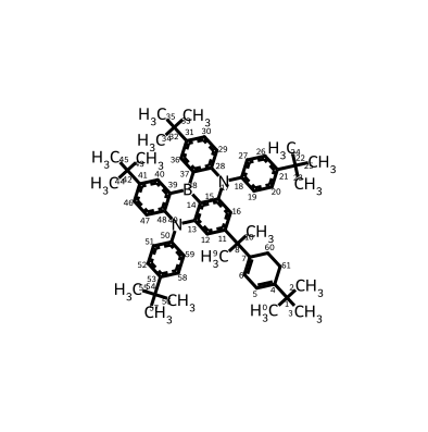 CC(C)(C)C1=CC=C(C(C)(C)c2cc3c4c(c2)N(c2ccc(C(C)(C)C)cc2)c2ccc(C(C)(C)C)cc2B4c2cc(C(C)(C)C)ccc2N3c2ccc(C(C)(C)C)cc2)CC1